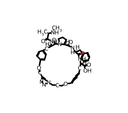 CN[C@@H](C)C(=O)N[C@H]1Cc2ccc(cc2)OCc2cn(nn2)CCCOc2ccc(cc2)C[C@@H](C(=O)O)NC(=O)[C@H](Cc2ccccc2)NC(=O)[C@H]2CCCN2C1=O